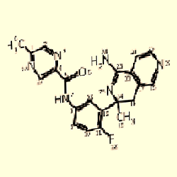 Cc1cnc(C(=O)Nc2ccc(F)c(C3(C)Cc4cnccc4C(N)=N3)c2)cn1